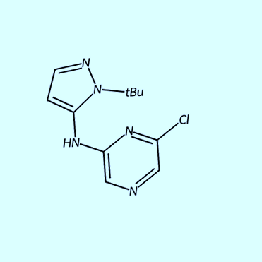 CC(C)(C)n1nccc1Nc1cncc(Cl)n1